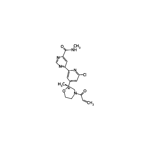 C=CC(=O)N1CCO[C@](C)(c2cc(Cl)nc(-c3cc(C(=O)NC)ncn3)c2)C1